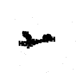 Cn1cc2cc(C(=O)N[C@H](CCCCCCCc3ccc4c(n3)NCCC4)C(=O)O)ccc2n1